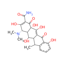 CC1c2cccc(O)c2C(=O)C2=C(O)[C@]3(O)C(=O)C(C(N)=O)=C(O)[C@@H](N(C)C)C3C(O)C21